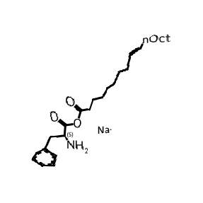 CCCCCCCCC=CCCCCCCCC(=O)OC(=O)[C@@H](N)Cc1ccccc1.[Na]